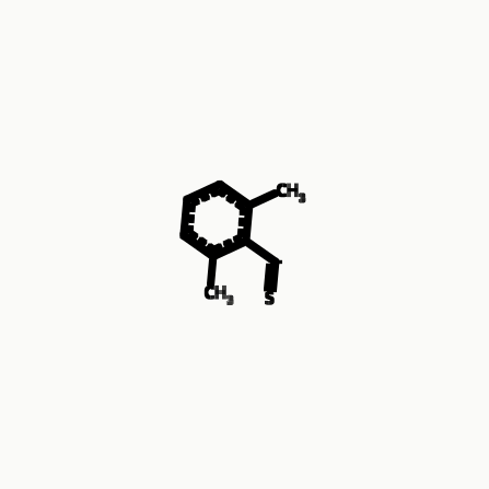 Cc1cccc(C)c1[C]=S